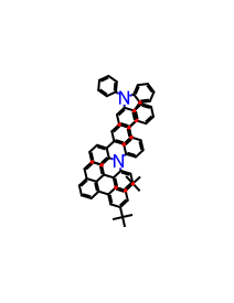 CC(C)(C)c1cc(-c2cccc3cccc(-c4ccccc4N(c4cccc(-c5ccc6c(c5)c5ccccc5n6-c5ccccc5)c4)c4ccccc4-c4ccc(-c5ccccc5)cc4)c23)cc(C(C)(C)C)c1